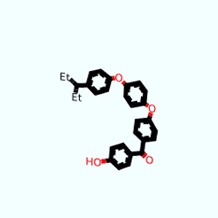 CCC(CC)c1ccc(Oc2ccc(Oc3ccc(C(=O)c4ccc(O)cc4)cc3)cc2)cc1